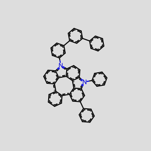 c1ccc(-c2cccc(-c3cccc(-n4c5cccc6c7ccccc7c7cc(-c8ccccc8)cc8c7c7c(c65)c4ccc7n8-c4ccccc4)c3)c2)cc1